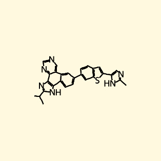 Cc1ncc(-c2cc3ccc(-c4ccc5c(c4)c4cncnc4c4nc(C(C)C)[nH]c54)cc3s2)[nH]1